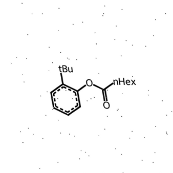 CCCCCCC(=O)Oc1ccccc1C(C)(C)C